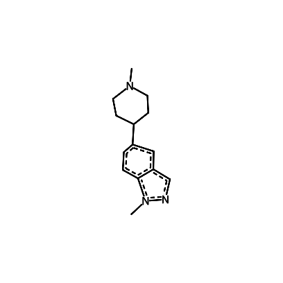 CN1CCC(c2ccc3c(cnn3C)c2)CC1